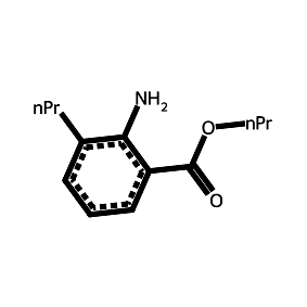 CCCOC(=O)c1cccc(CCC)c1N